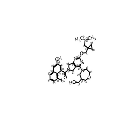 CN(C)CC1(COc2nc3c(c(N4CCOCC(CO)C4)n2)CN(C(=O)c2cc(O)cc4cccc(I)c24)C3)CC1